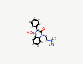 CCN(CC)CCN1C(=O)C(c2ccccc2)N(O)c2ccccc21